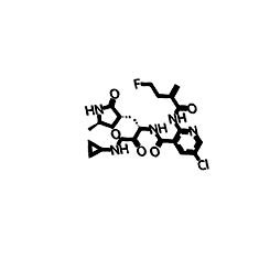 C=C(CCF)C(=O)Nc1ncc(Cl)cc1C(=O)N[C@@H](C[C@@H]1C[C@@H](C)NC1=O)C(=O)C(=O)NC1CC1